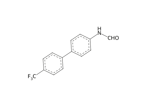 O=CNc1ccc(-c2ccc(C(F)(F)F)cc2)cc1